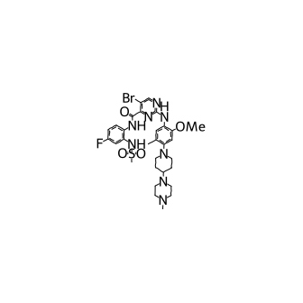 COc1cc(N2CCC(N3CCN(C)CC3)CC2)c(C)cc1Nc1ncc(Br)c(C(=O)Nc2ccc(F)cc2NS(C)(=O)=O)n1